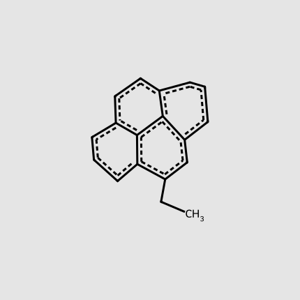 CCc1cc2cccc3ccc4cccc1c4c32